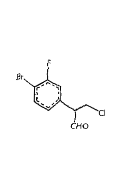 O=CC(CCl)c1ccc(Br)c(F)c1